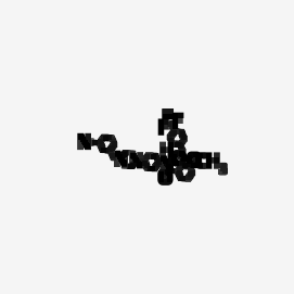 COc1cccc(C(=O)Nc2ccc(N3CCN(Cc4cccc(C#N)c4)CC3)cc2)c1OCc1ccc(C(F)(F)F)cc1